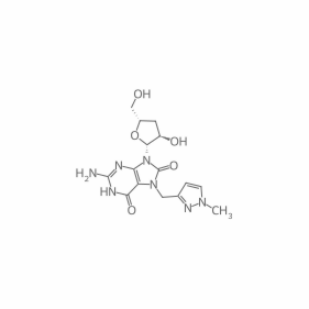 Cn1ccc(Cn2c(=O)n([C@@H]3O[C@H](CO)C[C@H]3O)c3nc(N)[nH]c(=O)c32)n1